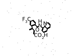 C=C(/C=C/C(=O)O)c1cc(C(F)(F)F)ccc1C(=O)Nc1cccc2cccnc12